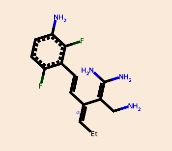 CC/C=C(/C=Cc1c(F)ccc(N)c1F)C(CN)=C(N)N